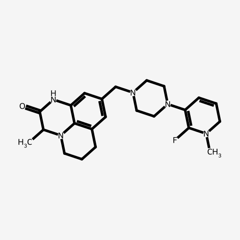 CC1C(=O)Nc2cc(CN3CCN(C4=C(F)N(C)CC=C4)CC3)cc3c2N1CCC3